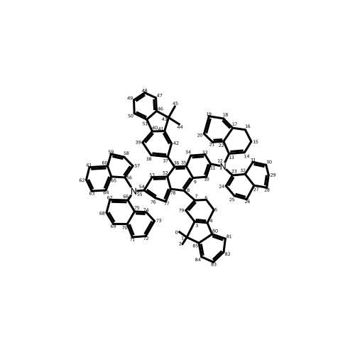 CC1(C)C2=C(CCC(c3c4cc(N(C5=CCCc6ccccc65)C5=CC=CC6C=CC=CC56)ccc4c(-c4ccc5c(c4)C(C)(C)c4ccccc4-5)c4cc(N(c5cccc6ccccc56)c5cccc6ccccc56)ccc34)=C2)c2ccccc21